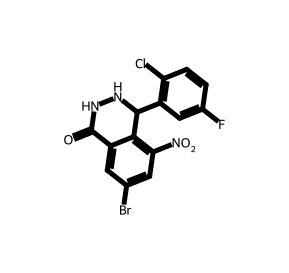 O=C1NNC(c2cc(F)ccc2Cl)c2c1cc(Br)cc2[N+](=O)[O-]